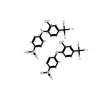 O=[N+]([O-])c1ccc(Oc2ccc(C(F)(F)F)cc2Cl)cc1.O=[N+]([O-])c1ccc(Oc2ccc(C(F)(F)F)cc2Cl)cc1